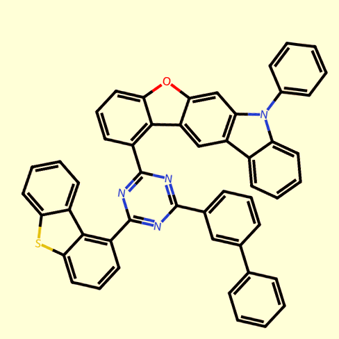 c1ccc(-c2cccc(-c3nc(-c4cccc5oc6cc7c(cc6c45)c4ccccc4n7-c4ccccc4)nc(-c4cccc5sc6ccccc6c45)n3)c2)cc1